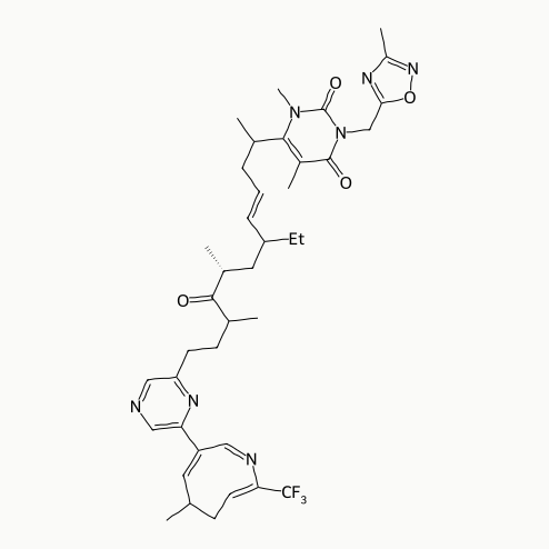 CCC(/C=C/CC(C)c1c(C)c(=O)n(Cc2nc(C)no2)c(=O)n1C)C[C@@H](C)C(=O)C(C)CCc1cncc(C2=C/C(C)C/C=C(C(F)(F)F)/N=C\2)n1